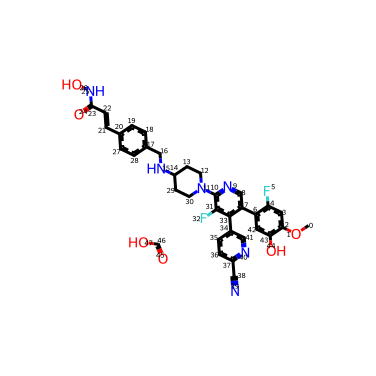 COc1cc(F)c(-c2cnc(N3CCC(NCc4ccc(/C=C/C(=O)NO)cc4)CC3)c(F)c2-c2ccc(C#N)nc2)cc1O.O=CO